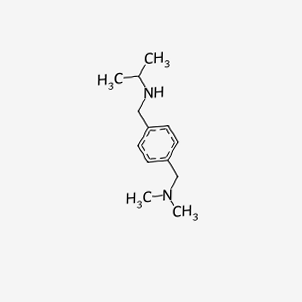 CC(C)NCc1ccc(CN(C)C)cc1